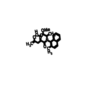 C=C(Cl)CC(=NO)C(=O)N(c1c(C)ccc2ccccc12)C(C)C(=O)OC